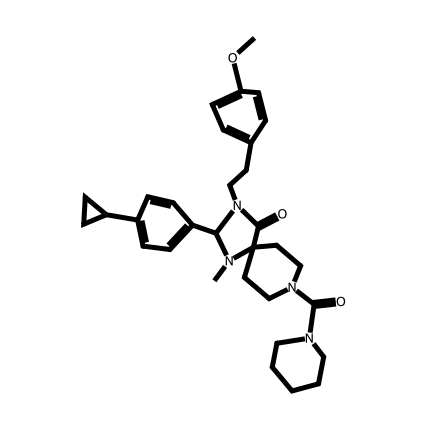 COc1ccc(CCN2C(=O)C3(CCN(C(=O)N4CCCCC4)CC3)N(C)C2c2ccc(C3CC3)cc2)cc1